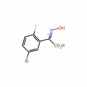 O=C(O)/C(=N\O)c1cc(Br)ccc1F